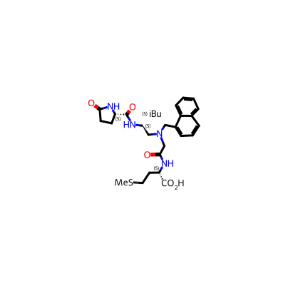 CC[C@H](C)[C@@H](CN(CC(=O)N[C@@H](CCSC)C(=O)O)Cc1cccc2ccccc12)NC(=O)[C@@H]1CCC(=O)N1